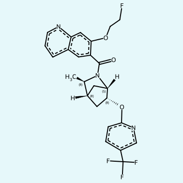 C[C@@H]1[C@H]2C[C@@H](Oc3ccc(C(F)(F)F)cn3)[C@H](C2)N1C(=O)c1cc2cccnc2cc1OCCF